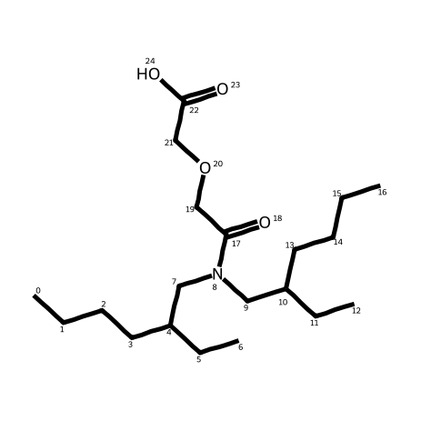 CCCCC(CC)CN(CC(CC)CCCC)C(=O)COCC(=O)O